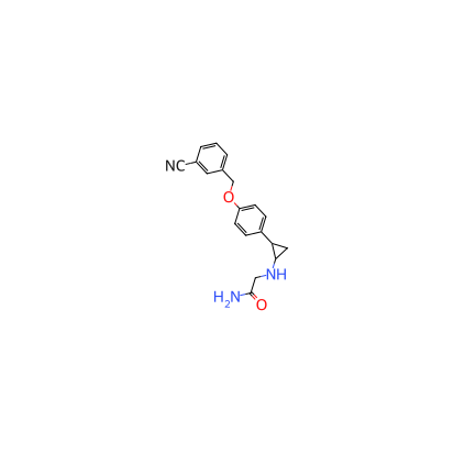 N#Cc1cccc(COc2ccc(C3CC3NCC(N)=O)cc2)c1